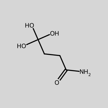 NC(=O)CCC(O)(O)O